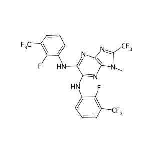 Cn1c(C(F)(F)F)nc2nc(Nc3cccc(C(F)(F)F)c3F)c(Nc3cccc(C(F)(F)F)c3F)nc21